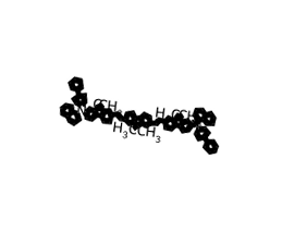 CC1(C)c2cc(/C=C/c3ccc4c(c3)C(C)(C)c3cc(N(c5ccc(-c6ccccc6)cc5)c5cccc6ccccc56)ccc3-4)ccc2-c2ccc(/C=C/c3ccc4c(c3)C(C)(C)c3cc(N(c5ccc(-c6ccccc6)cc5)c5cccc6ccccc56)ccc3-4)cc21